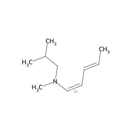 CC=C/C=C\N(C)CC(C)C